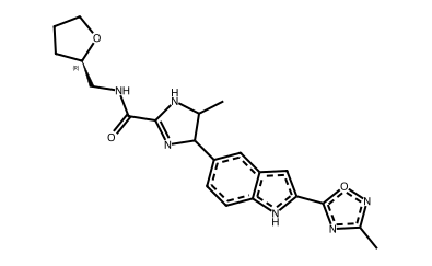 Cc1noc(-c2cc3cc(C4N=C(C(=O)NC[C@H]5CCCO5)NC4C)ccc3[nH]2)n1